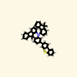 CC1(C)c2ccccc2-c2c(N(c3cccc(-c4ccc5c(c4)sc4ccccc45)c3)c3cccc4c3C(C)(C)c3ccccc3-4)cccc21